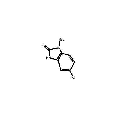 CC(C)(C)n1c(=O)[nH]c2cc(Cl)ccc21